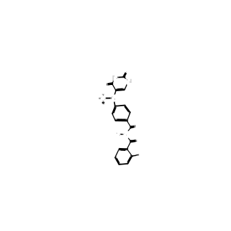 NN(C(=O)c1ccc(N(c2c[nH]c(=O)[nH]c2=O)S(=O)(=O)O)cc1)C(=O)c1ccccc1F